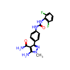 Cn1nc(-c2ccc(NC(=O)Nc3c(F)cccc3F)cc2)c(C(N)=O)c1N